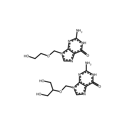 Nc1nc2c(ncn2COC(CO)CO)c(=O)[nH]1.Nc1nc2c(ncn2COCCO)c(=O)[nH]1